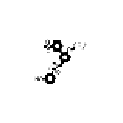 CN(Cc1ccc(OCC(=O)O)c(-c2cccc(S(C)(=O)=O)c2)c1)S(=O)(=O)c1cccc(C#N)c1